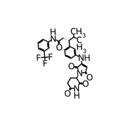 CC(C)[C@@H](CC(=O)Nc1cccc(C(F)(F)F)c1)c1cccc(NC2=CC(=O)N(C3CCC(=O)NC3=O)C2=O)c1